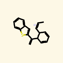 C=C(c1cc2ccccc2s1)C1C=CC=CC1/C=C\C